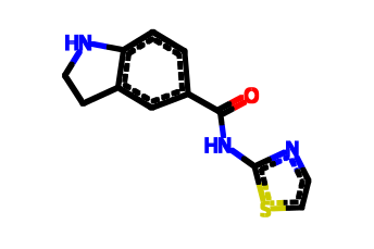 O=C(Nc1nccs1)c1ccc2c(c1)CCN2